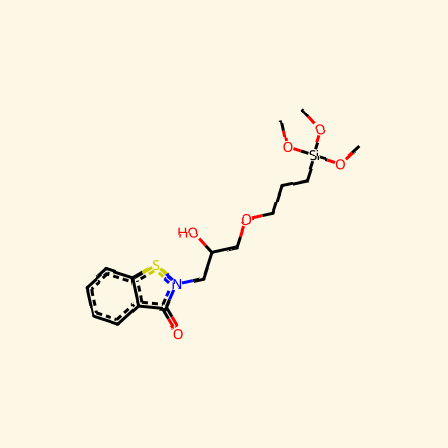 CO[Si](CCCOCC(O)Cn1sc2ccccc2c1=O)(OC)OC